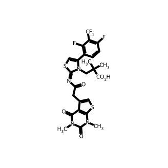 Cn1c(=O)c2c(CC(=O)N=c3scc(-c4ccc(F)c(C(F)(F)F)c4F)n3CC(C)(C)C(=O)O)csc2n(C)c1=O